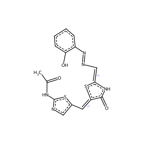 CC(=O)Nc1ncc(/C=c2\s/c(=C\N=Nc3ccccc3O)[nH]c2=O)s1